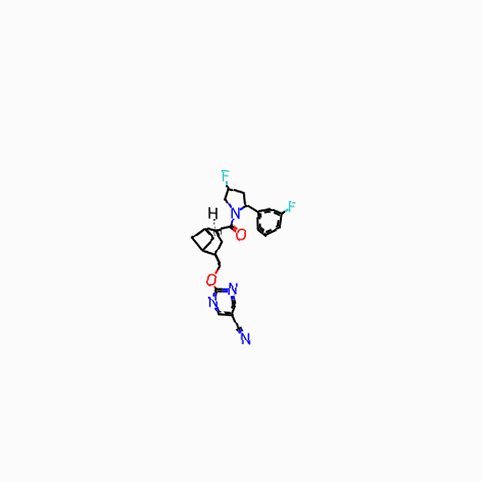 N#Cc1cnc(OCC2C[C@H](C(=O)N3CC(F)CC3c3cccc(F)c3)C3CC2C3)nc1